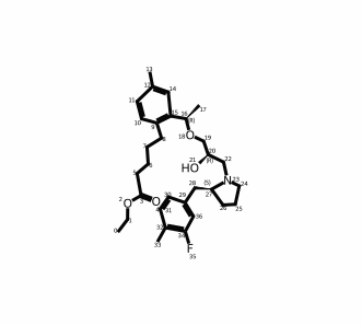 CCOC(=O)CCCCc1ccc(C)cc1[C@@H](C)OC[C@H](O)CN1CCC[C@H]1Cc1ccc(C)c(F)c1